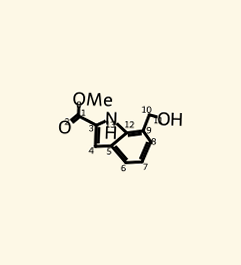 COC(=O)c1cc2cccc(CO)c2[nH]1